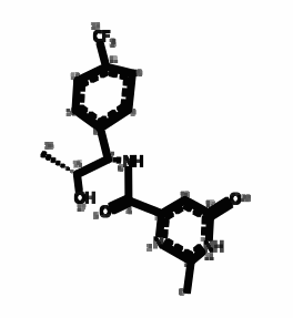 Cc1nc(C(=O)N[C@@H](c2ccc(C(F)(F)F)cc2)[C@@H](C)O)cc(=O)[nH]1